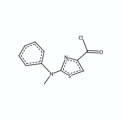 CN(c1ccccc1)c1nc(C(=O)Cl)cs1